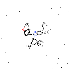 Cc1cc2c(cc1CCC(=O)O)nc(Cc1ccc(OC(F)(F)F)cc1)n2[C@@H]1C[C@H](C)CC(C)(C)C1